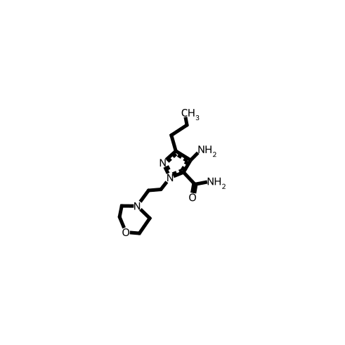 CCCc1nn(CCN2CCOCC2)c(C(N)=O)c1N